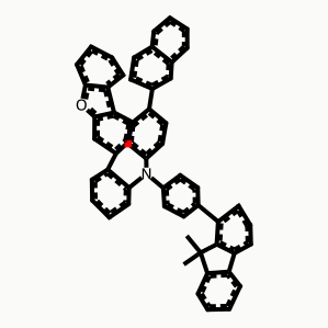 CC1(C)c2ccccc2-c2cccc(-c3ccc(N(c4ccc(-c5ccc6ccccc6c5)cc4)c4ccccc4-c4ccc5c(c4)oc4ccccc45)cc3)c21